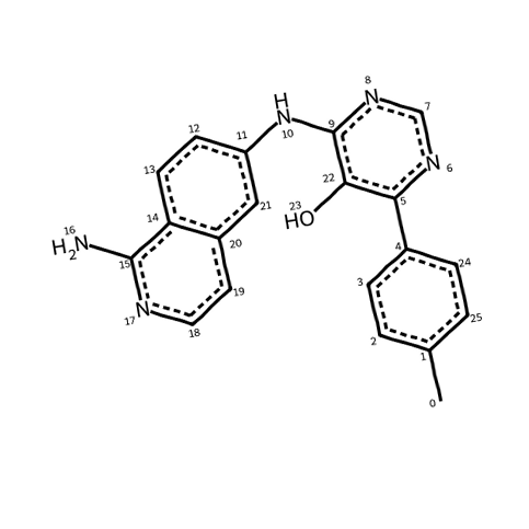 Cc1ccc(-c2ncnc(Nc3ccc4c(N)nccc4c3)c2O)cc1